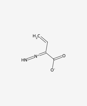 C=CC(=[N+]=N)C(=O)[O-]